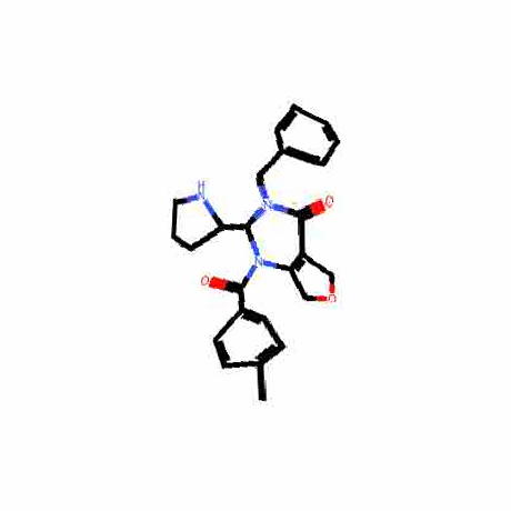 Cc1ccc(C(=O)N2C3=C(COC3)C(=O)N(Cc3ccccc3)C2C2CCCN2)cc1